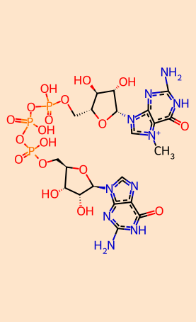 C[n+]1cn([C@@H]2O[C@H](COP(=O)(O)OP(=O)(O)OP(=O)(O)OC[C@H]3O[C@@H](n4cnc5c(=O)[nH]c(N)nc54)[C@H](O)[C@@H]3O)[C@@H](O)[C@@H]2O)c2nc(N)[nH]c(=O)c21